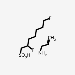 C=CCN.O=S(=O)(O)CC(F)CCCCCF